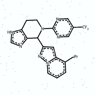 CC(C)c1cccn2nc(C3c4nc[nH]c4CCN3c3ncc(C(F)(F)F)cn3)cc12